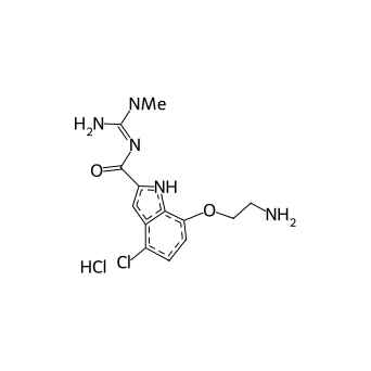 CNC(N)=NC(=O)c1cc2c(Cl)ccc(OCCN)c2[nH]1.Cl